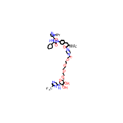 CC(=O)N[C@H](Cc1ccc(NC(=O)[C@@H](NC(=O)c2ccnn2C(C)C)C2CCCCCC2)cc1)C(=O)N1CCN(C(=O)COCCOCCOCCOC[C@H]2OC[C@H](Nc3cncc(C(F)(F)F)n3)[C@@H](O)[C@H]2O)CC1